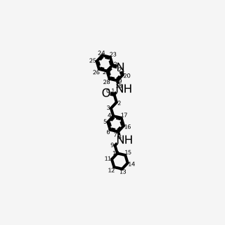 O=C(CCc1ccc(NCC2CCCCC2)cc1)Nc1cnc2ccccc2c1